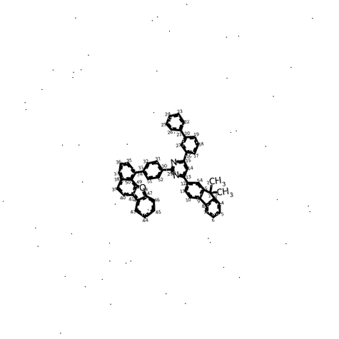 CC1(C)c2ccccc2-c2ccc(-c3cc(-c4cccc(-c5ccccc5)c4)nc(-c4ccc(-c5cccc6ccc7c8ccccc8oc7c56)cc4)n3)cc21